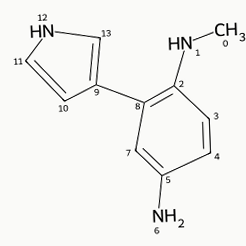 CNc1ccc(N)cc1-c1cc[nH]c1